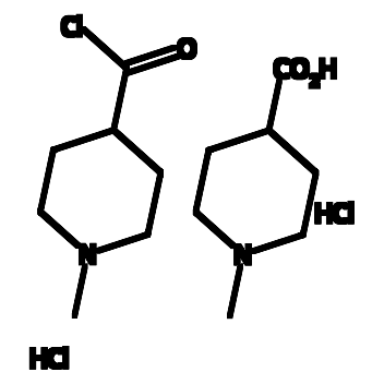 CN1CCC(C(=O)Cl)CC1.CN1CCC(C(=O)O)CC1.Cl.Cl